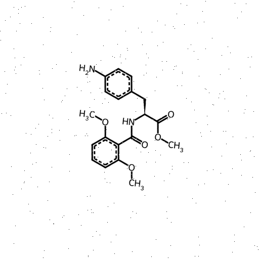 COC(=O)[C@H](Cc1ccc(N)cc1)NC(=O)c1c(OC)cccc1OC